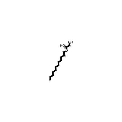 CCCCCCCCCCCCOC(O)CO